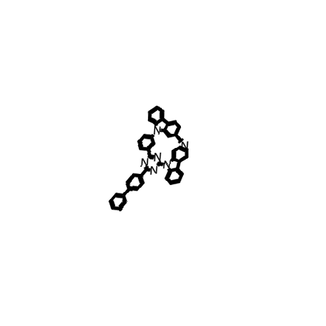 N#Cc1ccc2c3ccccc3n(-c3cccc(-c4nc(-c5ccc(-c6ccccc6)cc5)nc(-n5c6ccccc6c6ccccc65)n4)c3)c2c1